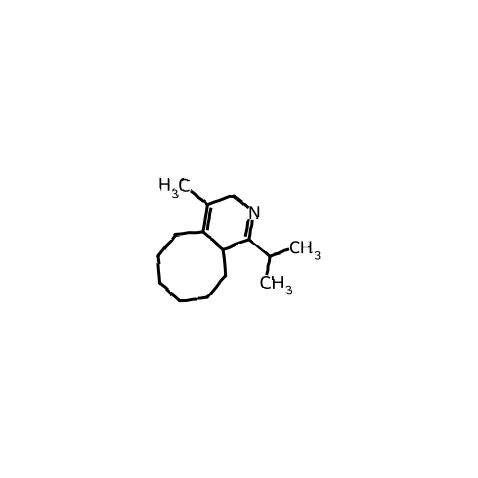 CC1=C2CCCCCCC2C(C(C)C)=NC1